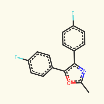 Cc1nc(-c2ccc(F)cc2)c(-c2ccc(F)cc2)o1